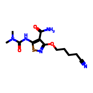 CN(C)C(=O)Nc1snc(OCCCCC#N)c1C(N)=O